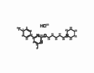 Cc1cc(-c2ccc(F)cc2)nc(OCCCCCN2CCCCC2)n1.Cl